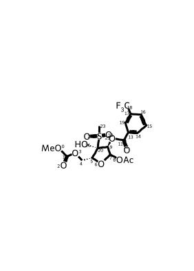 COC(=O)OC[C@H]1OC(OC(C)=O)[C@H](OC(=O)c2cccc(C(F)(F)F)c2)[C@]1(O)S(C)(=O)=O